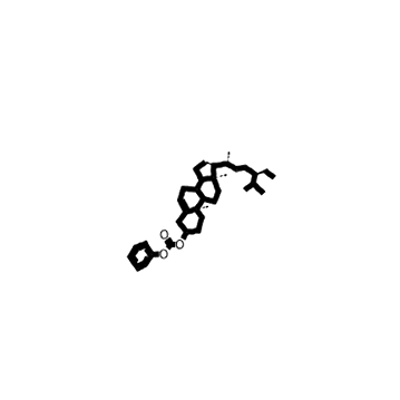 CC[C@H](CC[C@@H](C)[C@H]1CCC2C3CC=C4CC(OC(=O)Oc5ccccc5)CC[C@]4(C)C3CC[C@@]21C)C(C)C